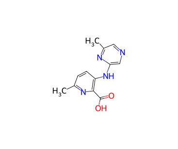 Cc1cncc(Nc2ccc(C)nc2C(=O)O)n1